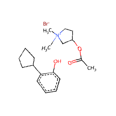 CC(=O)OC1CC[N+](C)(C)C1.Oc1ccccc1C1CCCC1.[Br-]